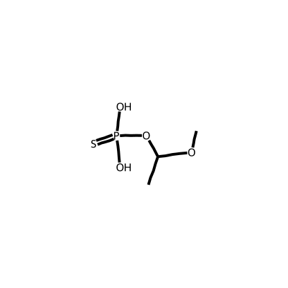 COC(C)OP(O)(O)=S